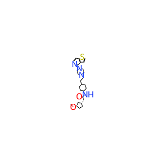 CO[C@@H]1CC[C@@H](CC(=O)NC2CCC(CCN3CCN(c4nccc5sccc45)CC3)CC2)C1